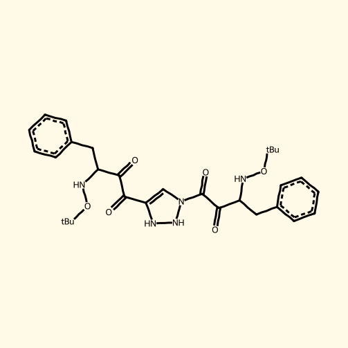 CC(C)(C)ONC(Cc1ccccc1)C(=O)C(=O)C1=CN(C(=O)C(=O)C(Cc2ccccc2)NOC(C)(C)C)NN1